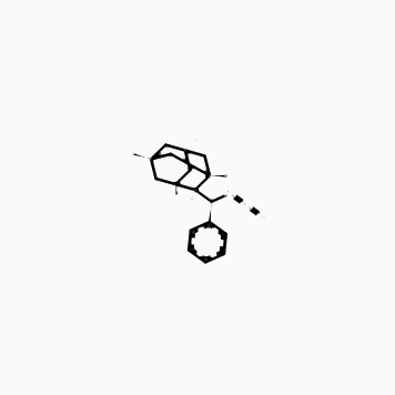 [N-]=[N+]=N[C@@H](c1ccccc1)[C@H]1[C@H]2C[C@@H]3C[C@H]1C[C@](Cl)(C2)C3